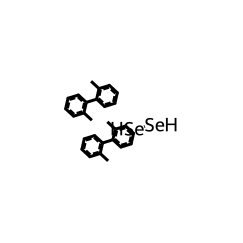 Cc1ccccc1-c1ccccc1C.Cc1ccccc1-c1ccccc1C.[SeH][SeH]